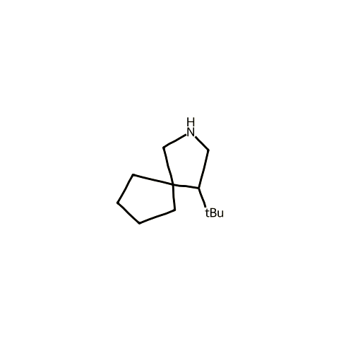 CC(C)(C)C1CNCC12CCCC2